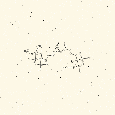 CCOC(COCC1CC2CC(OCOC(CC(C)CC)(C(F)(F)F)C(F)(F)F)C1C2)(C(F)(F)F)C(F)(F)F